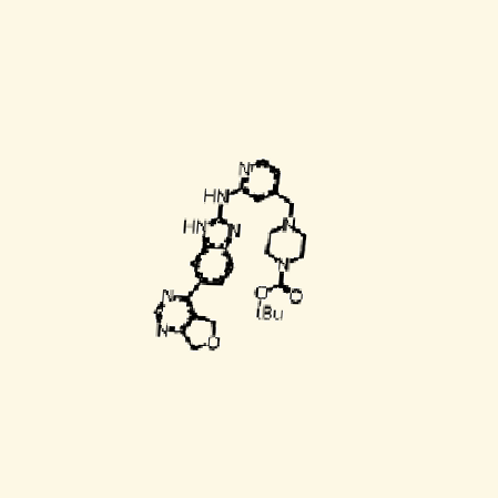 CC(C)(C)OC(=O)N1CCN(Cc2ccnc(Nc3nc4ccc(-c5ncnc6c5COC6)cc4[nH]3)c2)CC1